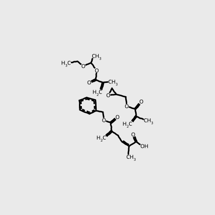 C=C(C)C(=O)OC(C)OCC.C=C(C)C(=O)OCC1CO1.C=C(CC=C(C)C(=O)O)C(=O)OCc1ccccc1